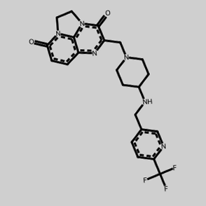 O=c1ccc2nc(CN3CCC(NCc4ccc(C(F)(F)F)nc4)CC3)c(=O)n3c2n1CC3